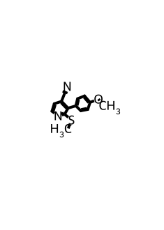 COc1ccc(-c2c(C#N)ccnc2SC)cc1